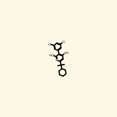 CC(C)(c1cc(O)c(-c2cc(Cl)cc(Cl)c2)c(O)n1)C1CCCCC1